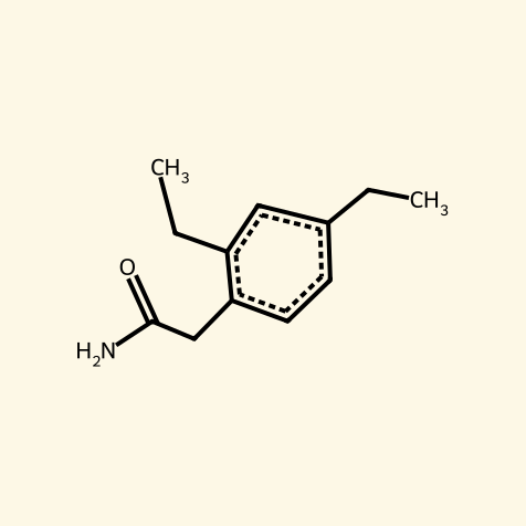 CCc1ccc(CC(N)=O)c(CC)c1